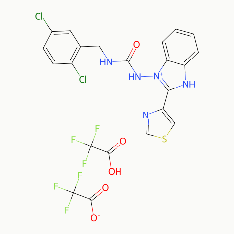 O=C(NCc1cc(Cl)ccc1Cl)N[n+]1c(-c2cscn2)[nH]c2ccccc21.O=C(O)C(F)(F)F.O=C([O-])C(F)(F)F